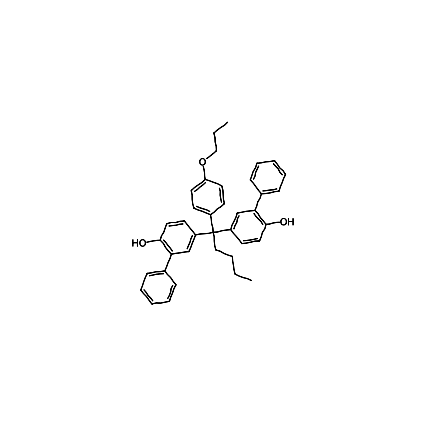 CCCCC(c1ccc(OCCC)cc1)(c1ccc(O)c(-c2ccccc2)c1)c1ccc(O)c(-c2ccccc2)c1